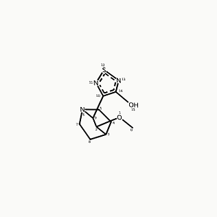 COC1C2CCN(CC2)C1c1nsnc1O